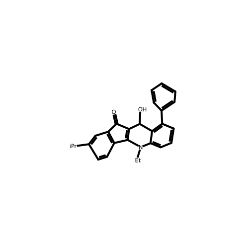 CCN1C2=C(C(=O)c3cc(C(C)C)ccc32)C(O)c2c(-c3ccccc3)cccc21